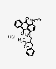 CC(C)Nc1ccc(NCC(Cc2ccccc2)N(C)C)c2c1C(=O)c1ccccc1C2=O.Cl